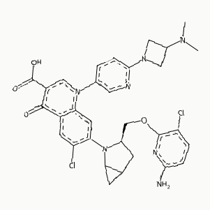 CN(C)C1CN(c2ccc(-n3cc(C(=O)O)c(=O)c4cc(Cl)c(N5C6CC6C[C@@H]5COc5nc(N)ccc5Cl)cc43)cn2)C1